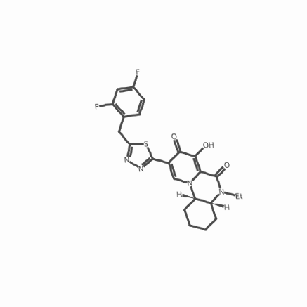 CCN1C(=O)c2c(O)c(=O)c(-c3nnc(Cc4ccc(F)cc4F)s3)cn2[C@H]2CCCC[C@H]21